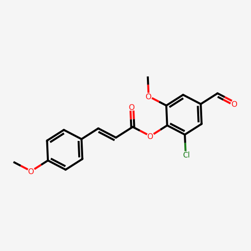 COc1ccc(/C=C/C(=O)Oc2c(Cl)cc(C=O)cc2OC)cc1